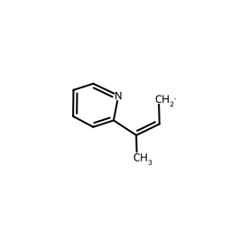 [CH2]/C=C(/C)c1ccccn1